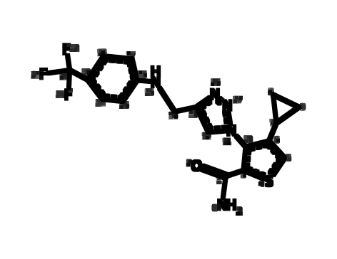 NC(=O)c1scc(C2CC2)c1-n1cc(CNc2ccc(C(F)(F)F)cc2)nn1